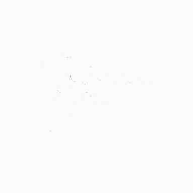 CCNCCCN1C(=O)N2[C@H](c3cccc(O)c3)c3[nH]c4ccc(OC)cc4c3C[C@@]2(C)C1=O